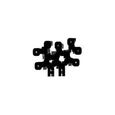 O=c1[nH]c2[nH]c(=O)n(P(=O)=O)c2c(=O)n1P(=O)=O